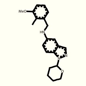 COc1cccc(CNc2ccc3c(cnn3C3CCCCO3)c2)c1C